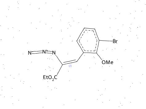 CCOC(=O)/C(=C/c1cccc(Br)c1OC)N=[N+]=[N-]